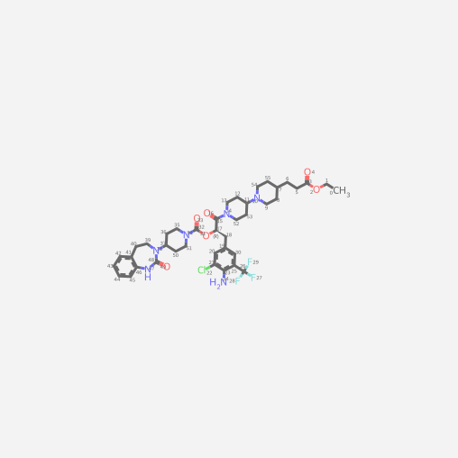 CCOC(=O)CCC1CCN(C2CCN(C(=O)[C@@H](Cc3cc(Cl)c(N)c(C(F)(F)F)c3)OC(=O)N3CCC(N4CCc5ccccc5NC4=O)CC3)CC2)CC1